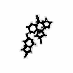 Cc1cn2ncc(C[C@H]3CC[C@H](C(=O)N4OCC[C@H]4c4csc(C)n4)CC3)cc2n1